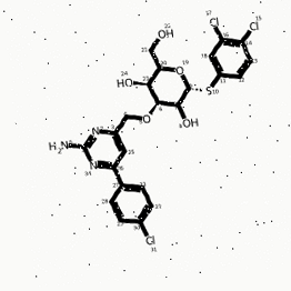 Nc1nc(CO[C@@H]2C(O)[C@@H](Sc3ccc(Cl)c(Cl)c3)OC(CO)[C@@H]2O)cc(-c2ccc(Cl)cc2)n1